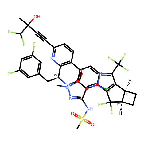 Cn1nc(NS(C)(=O)=O)c2c(Cl)ccc(-c3ccc(C#CC(C)(O)C(F)F)nc3[C@H](Cc3cc(F)cc(F)c3)NC(=O)Cn3nc(C(F)(F)F)c4c3C(F)(F)[C@@H]3CC[C@H]43)c21